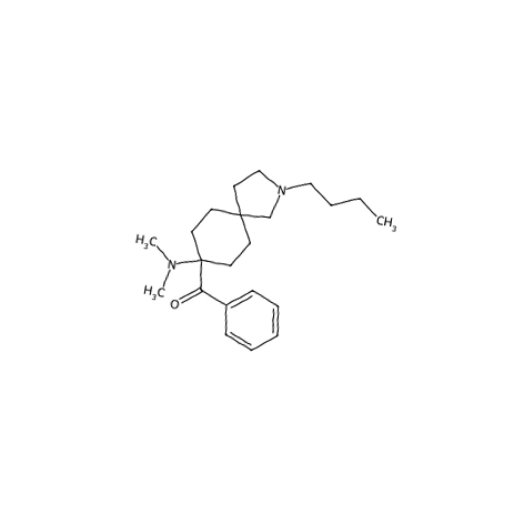 CCCCN1CCC2(CCC(C(=O)c3ccccc3)(N(C)C)CC2)C1